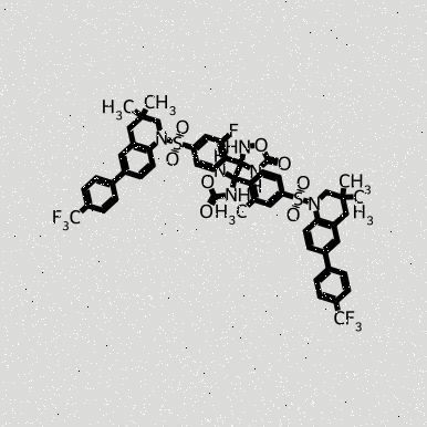 Cc1cc(S(=O)(=O)N2CC(C)(C)Cc3cc(-c4ccc(C(F)(F)F)cc4)ccc32)ccc1C1(C2(c3ccc(S(=O)(=O)N4CC(C)(C)Cc5cc(-c6ccc(C(F)(F)F)cc6)ccc54)cc3F)NOC(=O)N2)NOC(=O)N1